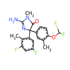 Cc1cc(C2(c3cc(F)cc(F)c3C)N=C(N)N(C)C2=O)ccc1OC(F)F